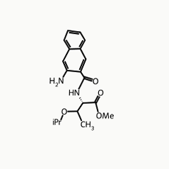 COC(=O)[C@@H](NC(=O)c1cc2ccccc2cc1N)C(C)OC(C)C